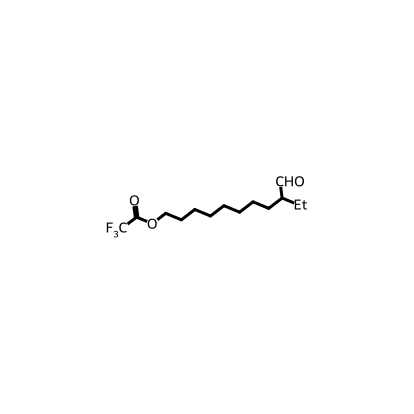 CCC(C=O)CCCCCCCCOC(=O)C(F)(F)F